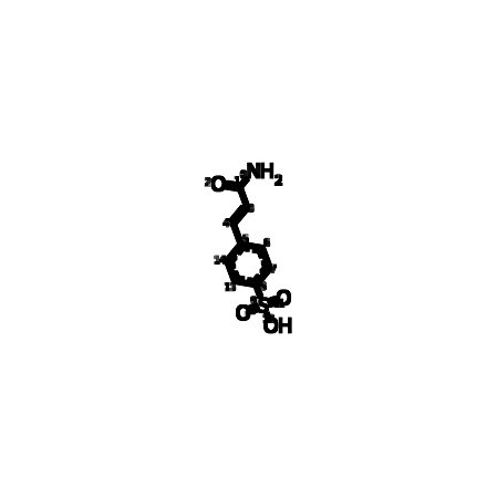 NC(=O)C=Cc1ccc(S(=O)(=O)O)cc1